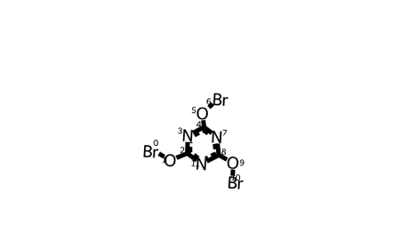 BrOc1nc(OBr)nc(OBr)n1